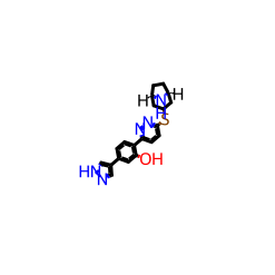 Oc1cc(-c2cn[nH]c2)ccc1-c1ccc(S[C@H]2C[C@H]3CC[C@@H](C2)N3)nn1